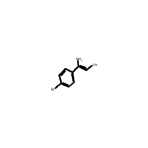 CCc1ccc(C(N)=CC#N)cc1